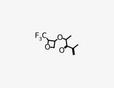 C=C(C)C(=O)C(C)OC1COC1C(F)(F)F